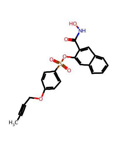 CC#CCOc1ccc(S(=O)(=O)Oc2cc3ccccc3cc2C(=O)NO)cc1